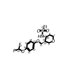 CCS(=O)(=O)N[C@@H]1CCOC[C@H]1COc1ccc(OC(F)F)cc1